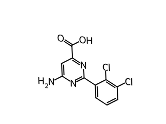 Nc1cc(C(=O)O)nc(-c2cccc(Cl)c2Cl)n1